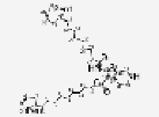 CCCCC/C=C\C/C=C\CCCCCCCCOC(=O)c1c(NC(=O)CCCCCCC/C=C\C/C=C\CCCCC)sc2c1CCNC2